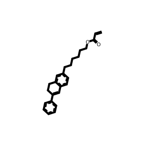 C=CC(=O)OCCCCCCc1ccc2c(c1)CCC(c1ccccc1)=C2